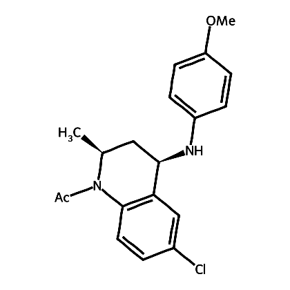 COc1ccc(N[C@@H]2C[C@H](C)N(C(C)=O)c3ccc(Cl)cc32)cc1